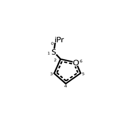 CC(C)Sc1ccco1